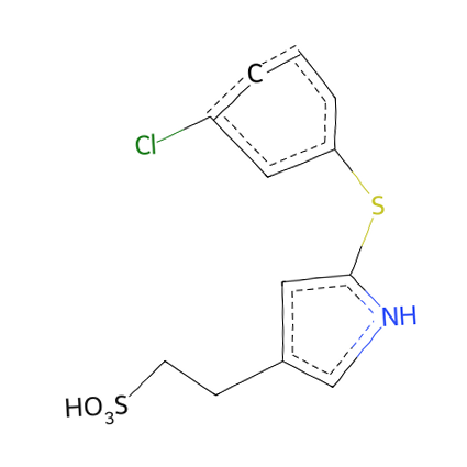 O=S(=O)(O)CCc1c[nH]c(Sc2cccc(Cl)c2)c1